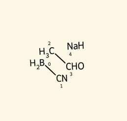 BC#N.CC=O.[NaH]